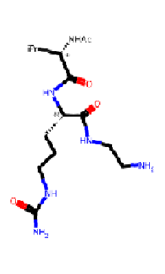 CC(=O)N[C@H](C(=O)N[C@@H](CCCNC(N)=O)C(=O)NCCN)C(C)C